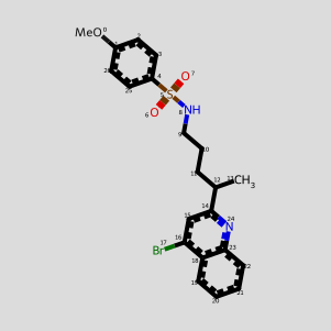 COc1ccc(S(=O)(=O)NCCCC(C)c2cc(Br)c3ccccc3n2)cc1